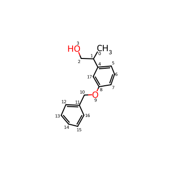 CC(CO)c1cccc(OCc2ccccc2)c1